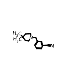 CC1(C)CCN(Cc2cccc(C#N)c2)CC1